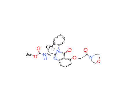 C[C@H](NC(=O)OC(C)(C)C)c1nc2cccc(OCC(=O)N3CCOCC3)c2c(=O)n1-c1ccccc1